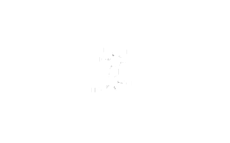 OC[C@H]1O[C@@H](O[C@@H]2O[C@H](CO)[C@@H](O)[C@H](O)[C@H]2O)[C@H](F)[C@@H](O)[C@H]1O